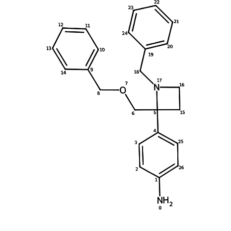 Nc1ccc(C2(COCc3ccccc3)CCN2Cc2ccccc2)cc1